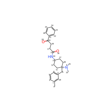 Cc1cccc(CC2(N(C)C)CCC(NC(=O)CCC(=O)c3ccccc3)CC2)c1